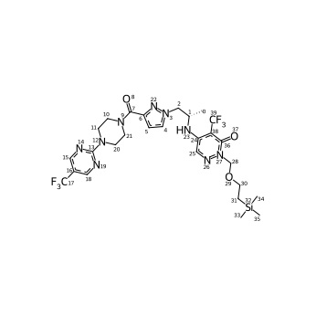 C[C@@H](Cn1ccc(C(=O)N2CCN(c3ncc(C(F)(F)F)cn3)CC2)n1)Nc1cnn(COCC[Si](C)(C)C)c(=O)c1C(F)(F)F